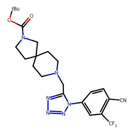 CC(C)(C)OC(=O)N1CCC2(CCN(Cc3nnnn3-c3ccc(C#N)c(C(F)(F)F)c3)CC2)C1